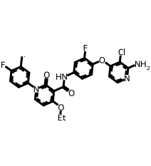 [CH2]c1cc(-n2ccc(OCC)c(C(=O)Nc3ccc(Oc4ccnc(N)c4Cl)c(F)c3)c2=O)ccc1F